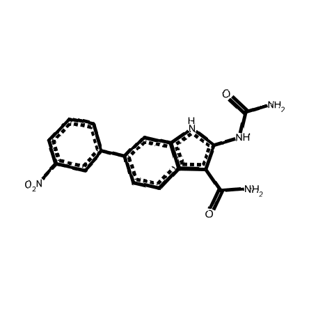 NC(=O)Nc1[nH]c2cc(-c3cccc([N+](=O)[O-])c3)ccc2c1C(N)=O